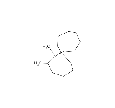 CC1CCCC[N+]2(CCCCCC2)C1C